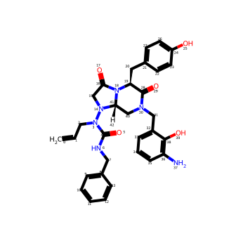 C=CCN(C(=O)NCc1ccccc1)N1CC(=O)N2[C@@H](Cc3ccc(O)cc3)C(=O)N(Cc3cccc(N)c3O)C[C@@H]21